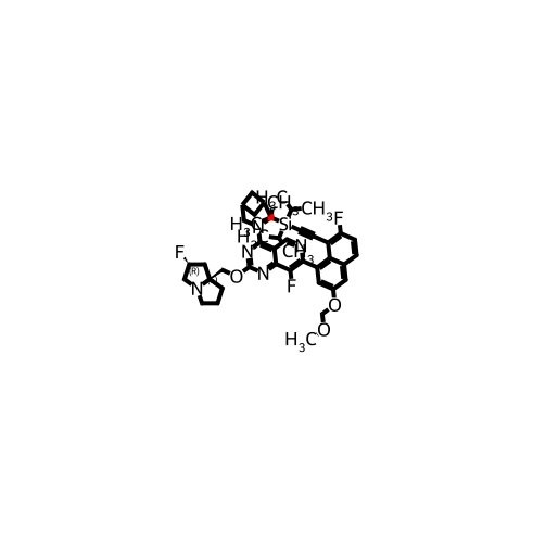 COCOc1cc(-c2ncc3c(N4CC5CC(C5)C4)nc(OC[C@@]45CCCN4C[C@H](F)C5)nc3c2F)c2c(C#C[Si](C(C)C)(C(C)C)C(C)C)c(F)ccc2c1